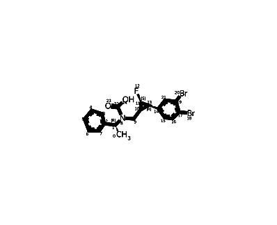 C[C@H](c1ccccc1)N(CC1[C@@H](F)[C@H]1c1ccc(Br)c(Br)c1)C(=O)O